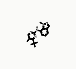 Cc1cnc(Nc2cccc3cnn(C)c23)nc1C(C)(C)C